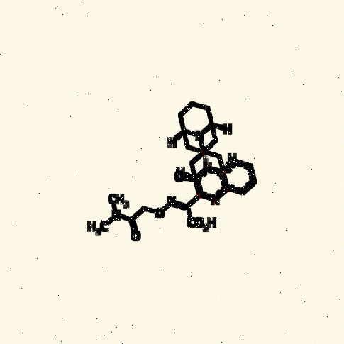 CN(C)C(=O)CO/N=C(\C(=O)O)c1nc2ccccc2n([C@H]2C[C@H]3CCC[C@@H](C2)N3C2C[C@H]3CCC[C@@H](C2)C3)c1=O